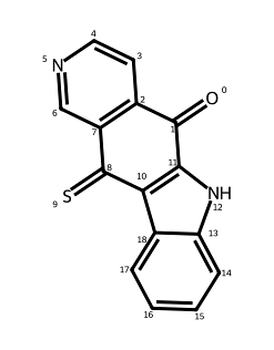 O=C1c2ccncc2C(=S)c2c1[nH]c1ccccc21